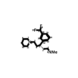 CNCC[C@H](CCN1CCCCC1)c1cccc(C(F)F)c1